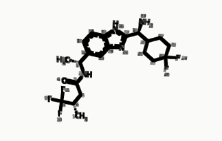 C[C@@H](NC(=O)C[C@H](C)C(F)(F)F)c1ccc2[nH]c([C@@H](N)C3CCC(F)(F)CC3)nc2c1